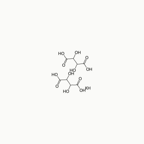 O=C(O)C(O)C(O)C(=O)O.O=C(O)C(O)C(O)C(=O)O.[KH]